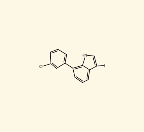 Clc1cccc(-c2cccc3c(I)c[nH]c23)c1